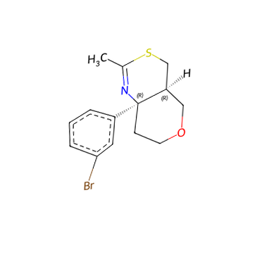 CC1=N[C@]2(c3cccc(Br)c3)CCOC[C@@H]2CS1